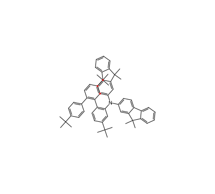 CC(C)(C)c1ccc(-c2ccc(C(C)(C)C)cc2-c2ccc(C(C)(C)C)cc2N(c2ccc3c(c2)C(C)(C)c2ccccc2-3)c2ccc3c(c2)C(C)(C)c2ccccc2-3)cc1